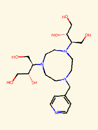 OC[C@@H](O)[C@@H](CO)N1CCN(Cc2ccncc2)CCN([C@H](CO)[C@H](O)CO)CC1